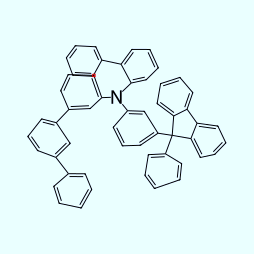 c1ccc(-c2cccc(-c3cccc(N(c4cccc(C5(c6ccccc6)c6ccccc6-c6ccccc65)c4)c4ccccc4-c4ccccc4)c3)c2)cc1